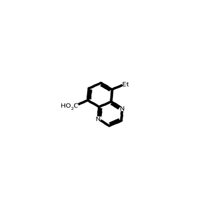 CCc1ccc(C(=O)O)c2nccnc12